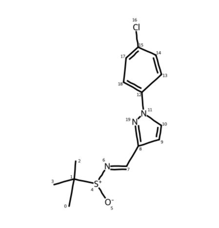 CC(C)(C)[S+]([O-])N=Cc1ccn(-c2ccc(Cl)cc2)n1